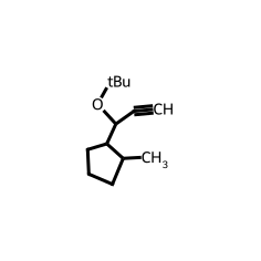 C#CC(OC(C)(C)C)C1CCCC1C